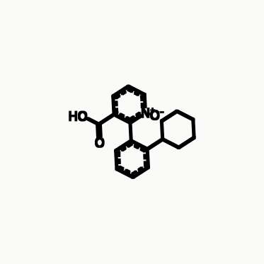 O=C(O)c1ccc[n+]([O-])c1-c1ccccc1C1CCCCC1